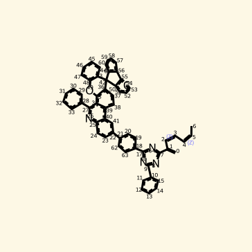 C=C(/C=C\C=C/C)c1nc(-c2ccccc2)nc(-c2ccc(-c3ccc4nc(-c5ccccc5)c5c6c(ccc5c4c3)C3(c4ccccc4O6)c4ccccc4-c4ccccc43)cc2)n1